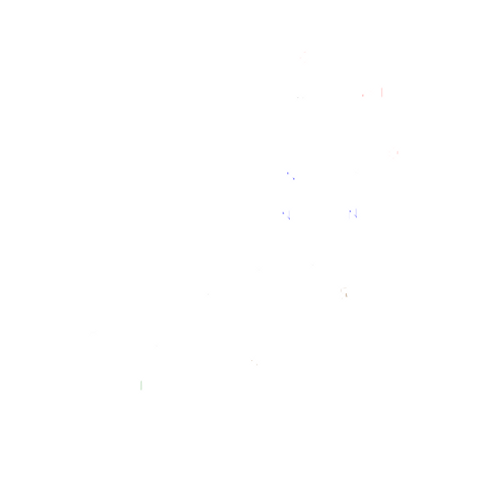 O=C1c2c(O)c(=O)ccn2N(C[C@@H]2c3ccccc3SCc3c2ccc(F)c3F)C2CSCCN12